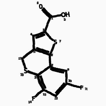 O=C(O)c1cc2c(s1)-c1cc(F)cc(F)c1SC2